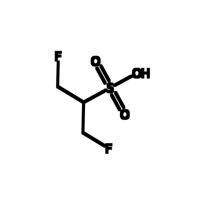 O=S(=O)(O)C(CF)CF